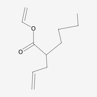 C=CCC(CCCC)C(=O)OC=C